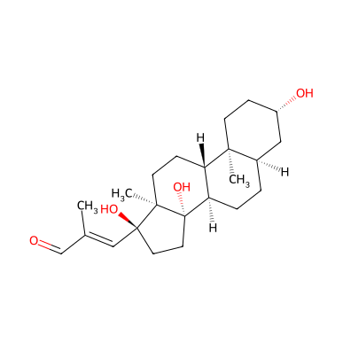 C/C(C=O)=C\[C@@]1(O)CC[C@]2(O)[C@@H]3CC[C@@H]4C[C@@H](O)CC[C@]4(C)[C@H]3CC[C@]12C